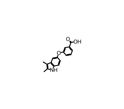 Cc1[nH]c2ccc(Oc3cccc(C(=O)O)c3)cc2c1C